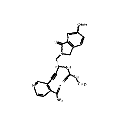 COc1ccc2c(c1)C(=O)N(C[C@@H](C#Cc1cnccc1C(N)=O)NC(=O)NC=O)C2